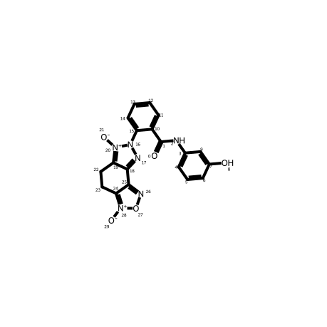 O=C(Nc1cccc(O)c1)c1ccccc1-n1nc2c([n+]1[O-])CCc1c-2no[n+]1[O-]